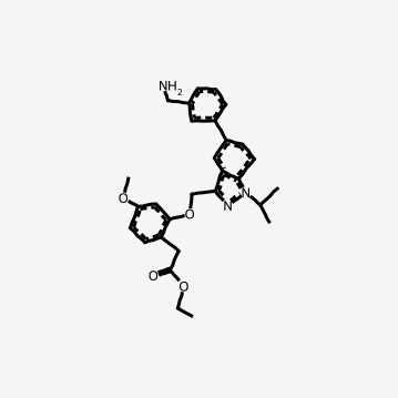 CCOC(=O)Cc1ccc(OC)cc1OCc1nn(C(C)C)c2ccc(-c3cccc(CN)c3)cc12